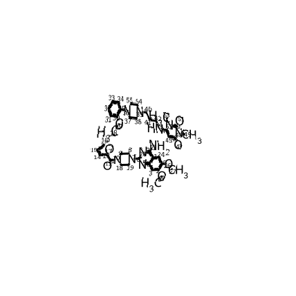 COc1cc2nc(N3CCN(C(=O)c4ccco4)CC3)nc(N)c2cc1OC.COc1ccccc1N1CCN(CCCNc2cc(=O)n(C)c(=O)n2C)CC1